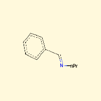 C[CH]CN=Cc1ccccc1